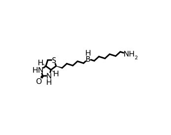 NCCCCCCBCCCCC[C@@H]1SC[C@@H]2NC(=O)N[C@@H]21